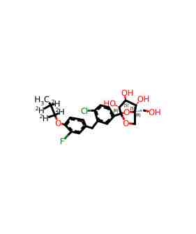 [2H]C([2H])(C)C([2H])([2H])Oc1ccc(Cc2cc(C34OC[C@@](CO)(O3)[C@@H](O)[C@H](O)[C@H]4O)ccc2Cl)cc1F